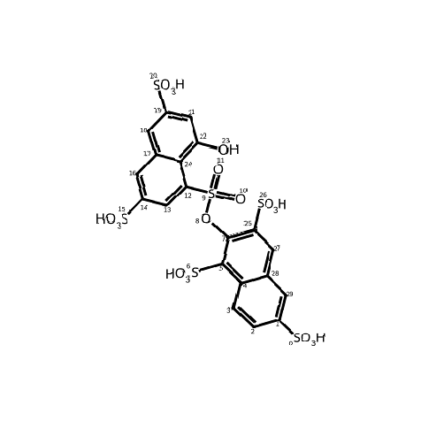 O=S(=O)(O)c1ccc2c(S(=O)(=O)O)c(OS(=O)(=O)c3cc(S(=O)(=O)O)cc4cc(S(=O)(=O)O)cc(O)c34)c(S(=O)(=O)O)cc2c1